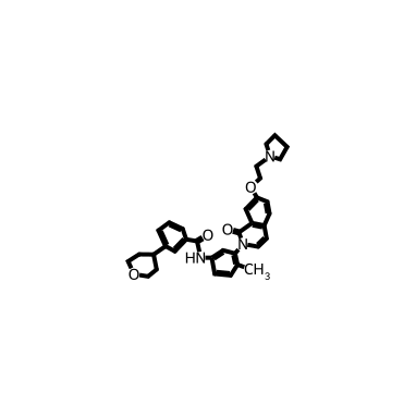 Cc1ccc(NC(=O)c2cccc(C3CCOCC3)c2)cc1-n1ccc2ccc(OCCN3CCCC3)cc2c1=O